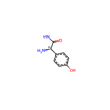 [NH]C(=O)[C@H](N)c1ccc(O)cc1